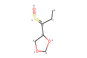 CCC(=S=O)C1COCO1